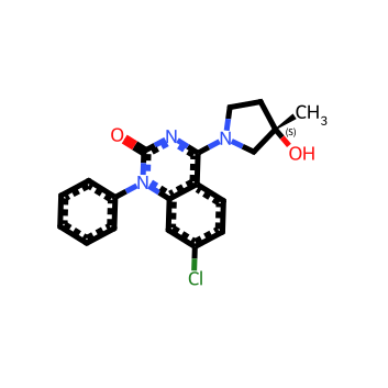 C[C@]1(O)CCN(c2nc(=O)n(-c3ccccc3)c3cc(Cl)ccc23)C1